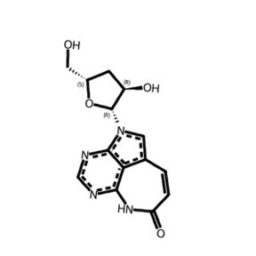 O=C1C=Cc2cn([C@@H]3O[C@H](CO)C[C@H]3O)c3ncnc(c23)N1